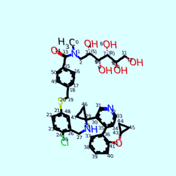 CN(C[C@H](O)[C@@H](O)[C@H](O)[C@H](O)CO)C(=O)c1ccc(CSc2ccc(Cl)c(CNC3(c4cnccc4-c4ccccc4OC4CC4)CC3)c2)cc1